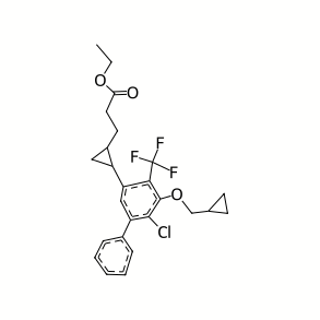 CCOC(=O)CCC1CC1c1cc(-c2ccccc2)c(Cl)c(OCC2CC2)c1C(F)(F)F